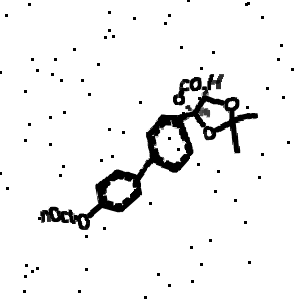 CCCCCCCCOc1ccc(-c2ccc([C@@]3(OC(=O)O)COC(C)(C)O3)cc2)cc1